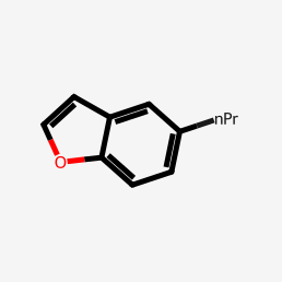 CCCc1ccc2occc2c1